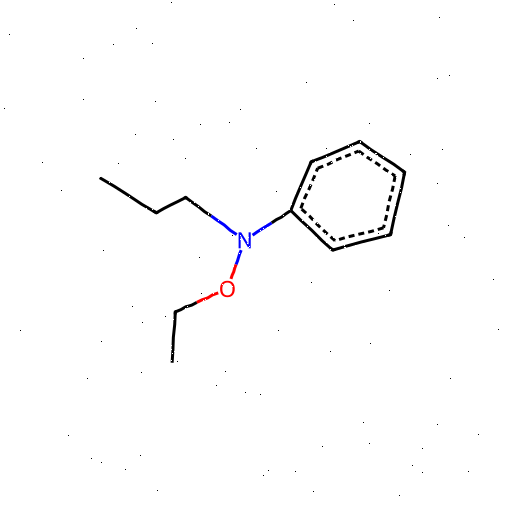 CCCN(OCC)c1ccccc1